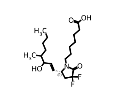 CCCCC(C)C(O)C=C[C@H]1CC(F)(F)C(=O)N1CCCCCCC(=O)O